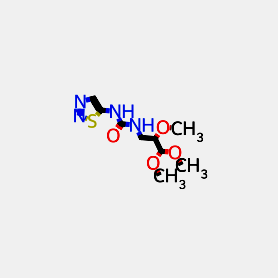 COC(CNC(=O)Nc1cnns1)C(OC)OC